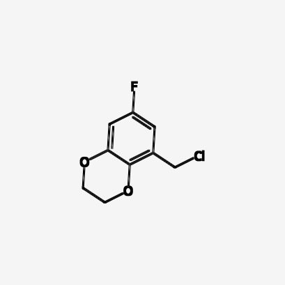 Fc1cc(CCl)c2c(c1)OCCO2